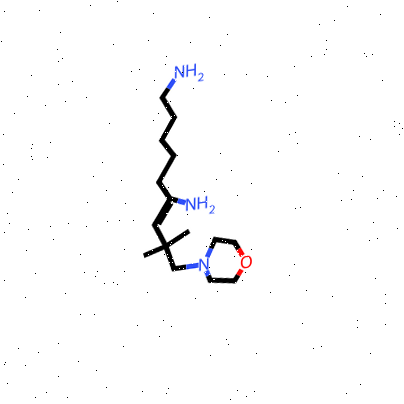 CC(C)(C=C(N)CCCCCN)CN1CCOCC1